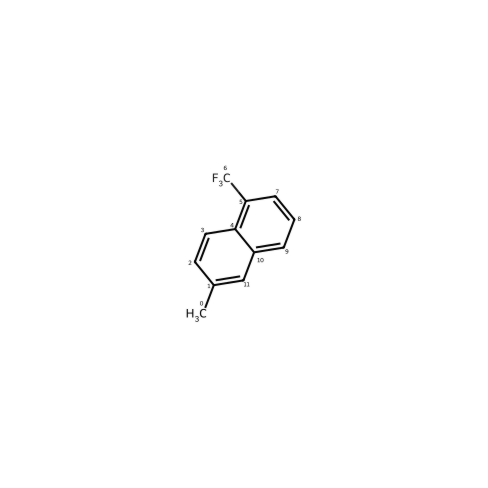 Cc1ccc2c(C(F)(F)F)cccc2c1